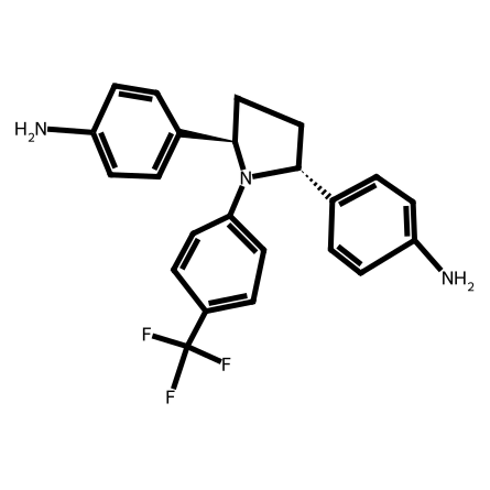 Nc1ccc([C@H]2CC[C@H](c3ccc(N)cc3)N2c2ccc(C(F)(F)F)cc2)cc1